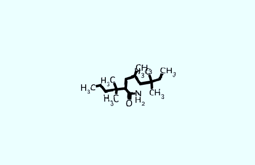 CCCC(C)(C)C(CC(C)CC(C)(C)CC)C(N)=O